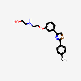 OCCNCCOc1cccc(-c2csc(-c3ccc(C(F)(F)F)cc3)n2)c1